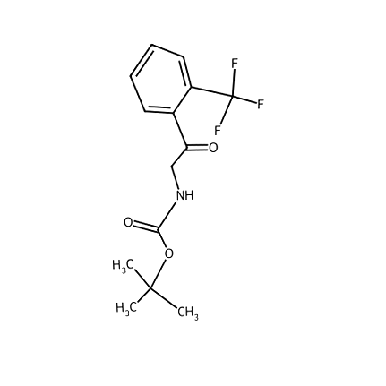 CC(C)(C)OC(=O)NCC(=O)c1ccccc1C(F)(F)F